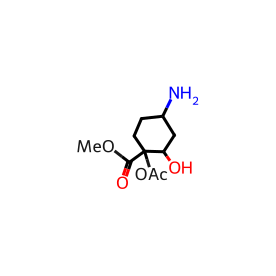 COC(=O)C1(OC(C)=O)CCC(N)CC1O